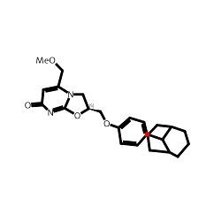 COCc1cc(=O)nc2n1C[C@@H](COc1ccc(C3C4CCCC3CCC4)cc1)O2